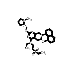 C=CS(=O)(=O)CCN(CC)c1nc(OC[C@@H]2CCCN2C)nc2c1CCN(c1cccc3cccc(Cl)c13)C2